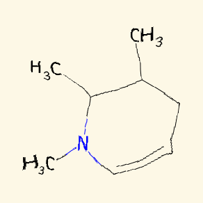 CC1CC=CN(C)C1C